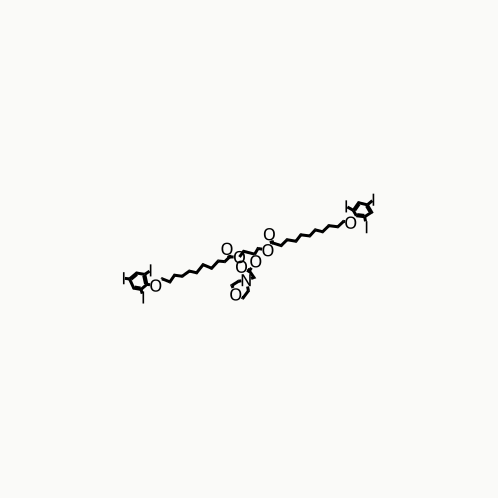 O=C(CCCCCCCCCCOc1c(I)cc(I)cc1I)OCC(COC(=O)CCCCCCCCCCOc1c(I)cc(I)cc1I)OC(=O)CN1CCOCC1